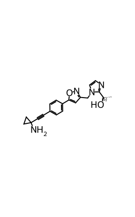 C[C@H](O)c1nccn1Cc1cc(-c2ccc(C#CC3(N)CC3)cc2)on1